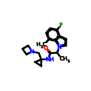 Cc1ccc(F)c2ccn(C(C)C(=O)NC3(CN4CCC4)CC3)c12